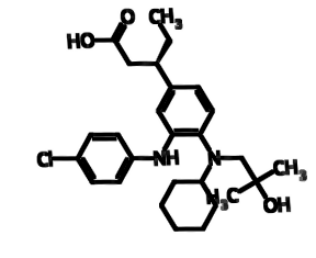 CC[C@H](CC(=O)O)c1ccc(N(CC(C)(C)O)C2CCCCC2)c(Nc2ccc(Cl)cc2)c1